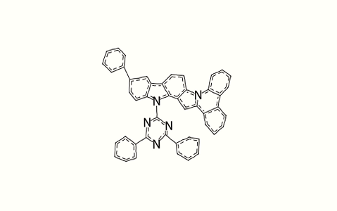 c1ccc(-c2ccc3c(c2)c2ccc4c(cc5c6ccccc6c6ccccc6n54)c2n3-c2nc(-c3ccccc3)nc(-c3ccccc3)n2)cc1